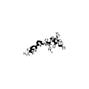 CCC(=O)Cn1c(=O)c2c(ncn2[C@@H](C)C(=O)Nc2cccc(-c3ccc(C(C)(F)F)nc3)n2)n(C)c1=O